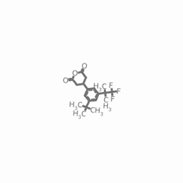 CC(C)(C)c1cc(C2CC(=O)OC(=O)C2)cc(C(C)(C)C(F)(F)F)c1